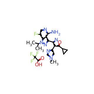 CC(C)n1nc(-c2noc(C3CC3)c2-c2cn(C)cn2)c2c(N)ncc(F)c21.O=C(O)C(F)(F)F